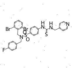 O=S(=O)(c1ccc(NC(=S)NCc2ccncc2)cc1)N(Cc1ccc(F)cc1)Cc1c(Br)cccc1Br